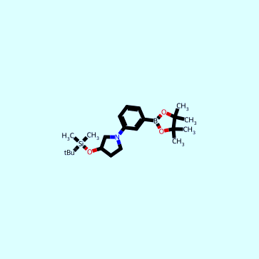 CC1(C)OB(c2cccc(N3CCC(O[Si](C)(C)C(C)(C)C)C3)c2)OC1(C)C